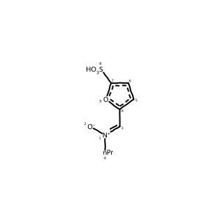 CCC[N+]([O-])=Cc1ccc(S(=O)(=O)O)o1